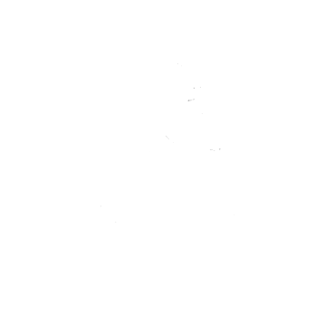 CCCCCCCC/C=C\CCCCCCCC(=O)OCC(COC(=O)CCCCCCCCCCCCCCC)OC(=O)NC1CN(CC(F)(F)F)C1